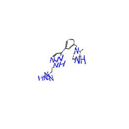 C[C@H]1CNCCN1Cc1cccc(-c2ccnc(NCCc3nc[nH]n3)n2)c1